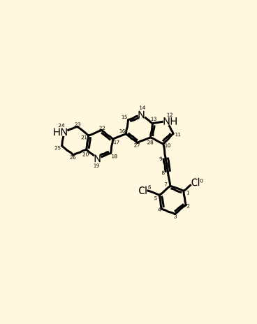 Clc1cccc(Cl)c1C#Cc1c[nH]c2ncc(-c3cnc4c(c3)CNCC4)cc12